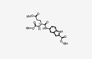 COC(=O)CC[C@H](NC(=O)OC(C)(C)C)C(=O)Nc1ccc2[nH]c(C(=O)OC(C)(C)C)cc2c1